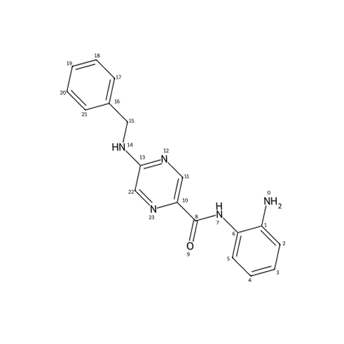 Nc1ccccc1NC(=O)c1cnc(NCc2ccccc2)cn1